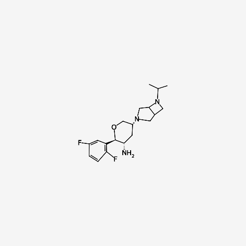 CC(C)N1CC2CN([C@H]3CO[C@H](c4cc(F)ccc4F)[C@@H](N)C3)CC21